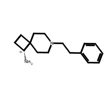 N[C@@H]1CCC12CCN(CCc1ccccc1)CC2